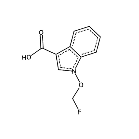 O=C(O)c1cn(OCF)c2ccccc12